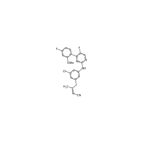 COc1cc(F)ccc1-c1nc(Nc2cc(Cl)cc(C/S(C)=N\C#N)c2)ncc1F